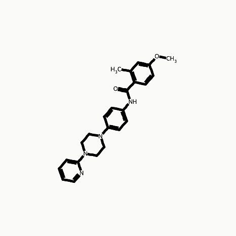 COc1ccc(C(=O)Nc2ccc(N3CCN(c4ccccn4)CC3)cc2)c(C)c1